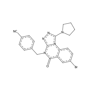 N#Cc1ccc(Cn2c(=O)c3cc(Br)ccc3n3c(N4CCCC4)nnc23)cc1